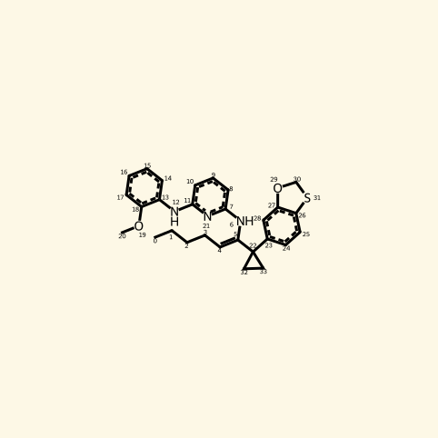 CCCCC=C(Nc1cccc(Nc2ccccc2OC)n1)C1(c2ccc3c(c2)OCS3)CC1